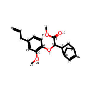 C=CCc1ccc(OC(C(=O)OC)C2CC3C=CC2C3)c(OC)c1